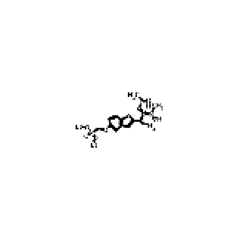 CCOP(=O)(COc1ccc2sc(C(C)N(OB(C)O)B(C)O)cc2c1)OCC